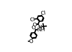 COc1ccc(C(=O)NN(C(=O)c2ccc(Cl)cc2Cl)C(C)(C)C)cc1